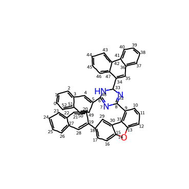 c1ccc2cc(C3=NC(c4cccc5oc6ccc(-c7ccc8ccccc8c7)cc6c45)=NC(c4cc5ccccc5c5ccccc45)N3)ccc2c1